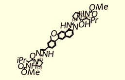 COC(=O)NC(C(=O)N1C[C@@H](C)C[C@H]1c1ncc(-c2ccc3c(c2)COc2cc4c(ccc5nc([C@@H]6CC[C@H](C)N6C(O)[C@@H](NC(=O)OC)C(C)C)[nH]c54)cc2-3)[nH]1)C(C)C